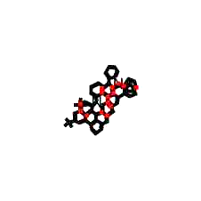 CC(C)(C)c1cc(-c2cccc3cccc(-c4ccccc4N(c4ccccc4-c4ccc5c6ccccc6n(-c6ccccc6)c5c4)c4ccccc4-c4cccc5c4ccc4ccccc45)c23)cc(C(C)(C)C)c1